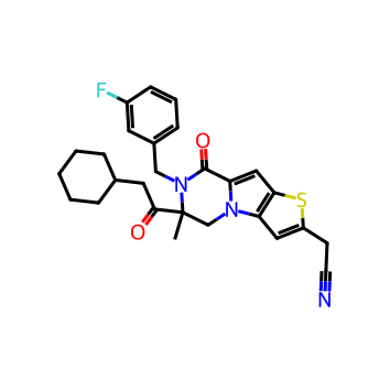 CC1(C(=O)CC2CCCCC2)Cn2c(cc3sc(CC#N)cc32)C(=O)N1Cc1cccc(F)c1